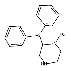 CC(C)(C)N1CCNCC1[SiH](c1ccccc1)c1ccccc1